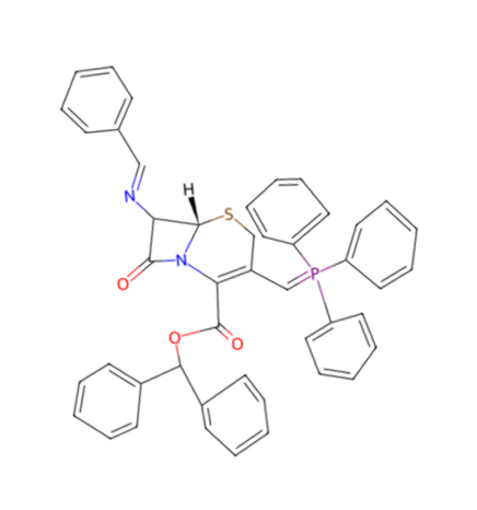 O=C(OC(c1ccccc1)c1ccccc1)C1=C(C=P(c2ccccc2)(c2ccccc2)c2ccccc2)CS[C@H]2C(N=Cc3ccccc3)C(=O)N12